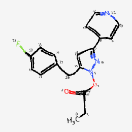 CCC(=O)On1nc(-c2ccncc2)cc1Cc1ccc(F)cc1